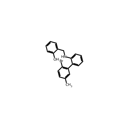 Cc1ccc(Br)c(-c2ccccc2NCc2ccccc2O)c1